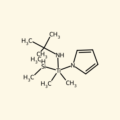 C[SiH](C)[Ti]([CH3])([CH3])([NH]C(C)(C)C)[n]1cccc1